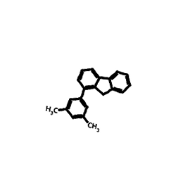 Cc1cc(C)cc(-c2cccc3c2Cc2ccccc2-3)c1